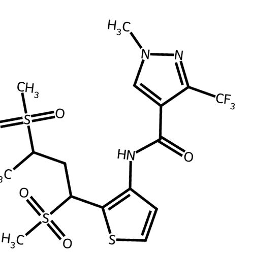 CC(CC(c1sccc1NC(=O)c1cn(C)nc1C(F)(F)F)S(C)(=O)=O)S(C)(=O)=O